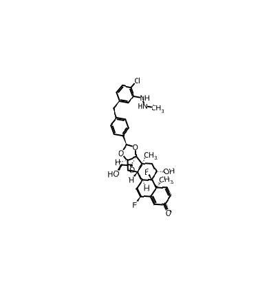 CNNc1cc(Cc2ccc([C@@H]3O[C@@H]4C[C@H]5[C@@H]6C[C@H](F)C7=CC(=O)C=C[C@]7(C)[C@@]6(F)[C@@H](O)C[C@]5(C)[C@]4(C(=O)CO)O3)cc2)ccc1Cl